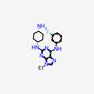 CCn1cnc2c(Nc3cccc(F)c3)nc(N[C@H]3CC[C@@H](N)CC3)nc21